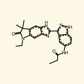 CCC(=O)Nc1ccc2[nH]nc(-c3nc4cc5c(cc4[nH]3)C(C)(C)C(=O)N5CC)c2c1